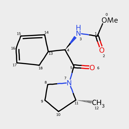 COC(=O)N[C@@H](C(=O)N1CCC[C@H]1C)C1C=CC=CC1